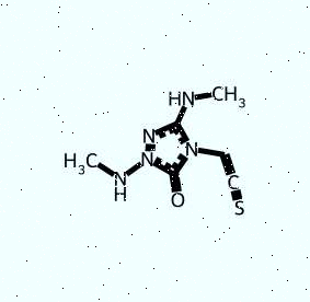 CNc1nn(NC)c(=O)n1C=C=S